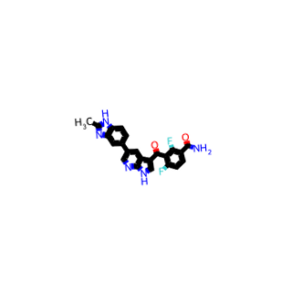 Cc1nc2cc(-c3cnc4[nH]cc(C(=O)c5c(F)ccc(C(N)=O)c5F)c4c3)ccc2[nH]1